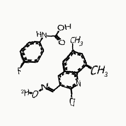 O=C(O)Nc1ccc(F)cc1.[2H]ON=Cc1cc2cc(C)cc(C)c2nc1Cl